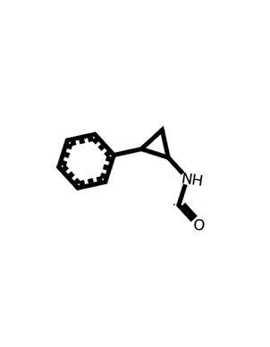 O=[C]NC1CC1c1ccccc1